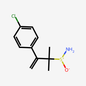 C=C(c1ccc(Cl)cc1)C(C)(C)[S+](N)[O-]